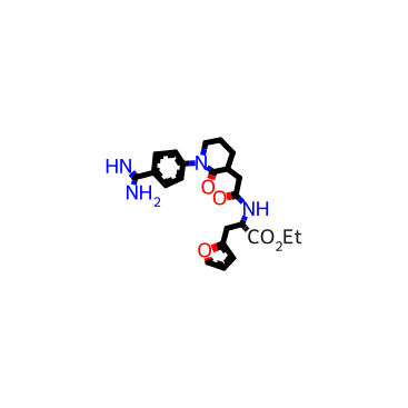 CCOC(=O)C(Cc1ccco1)NC(=O)CC1CCCN(c2ccc(C(=N)N)cc2)C1=O